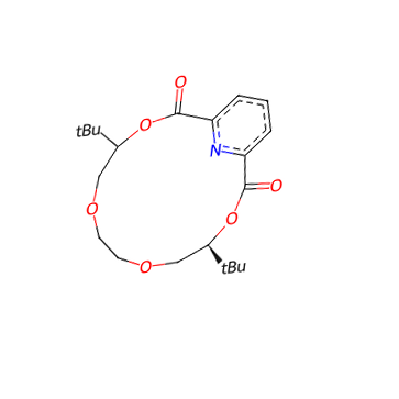 CC(C)(C)C1COCCOC[C@H](C(C)(C)C)OC(=O)c2cccc(n2)C(=O)O1